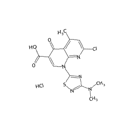 Cc1cc(Cl)nc2c1c(=O)c(C(=O)O)cn2-c1nc(N(C)C)ns1.Cl